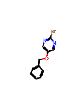 Brc1ncc(OCc2ccccc2)cn1